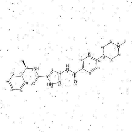 C[C@@H](NC(=O)c1cc(NC(=O)c2ccc(N3CCN(C)CC3)nc2)n[nH]1)c1ccccc1